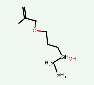 C=C(C)COCCC[SiH](O)[SiH2][SiH3]